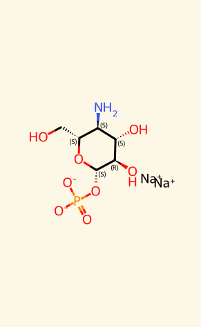 N[C@H]1[C@H](O)[C@@H](O)[C@H](OP(=O)([O-])[O-])O[C@@H]1CO.[Na+].[Na+]